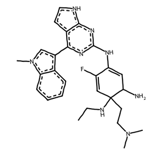 CCNC1(CCN(C)C)C=C(F)C(Nc2nc(-c3cn(C)c4ccccc34)c3cc[nH]c3n2)=CC1N